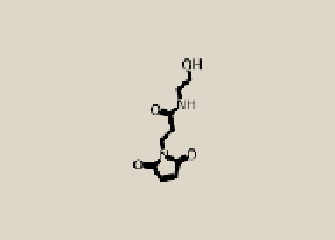 O=C(CCN1C(=O)C=CC1=O)NCCO